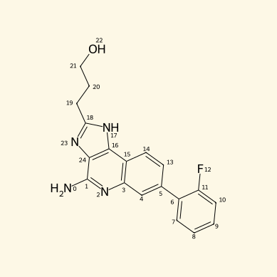 Nc1nc2cc(-c3ccccc3F)ccc2c2[nH]c(CCCO)nc12